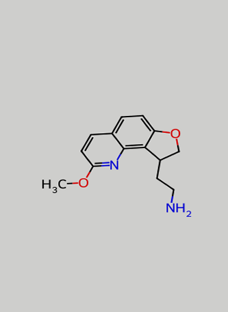 COc1ccc2ccc3c(c2n1)C(CCN)CO3